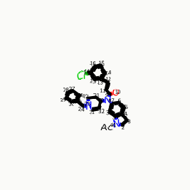 CC(=O)N1CCc2ccc(N(C(=O)C=Cc3cccc(Cl)c3)C3CCN(Cc4ccccc4)CC3)cc21